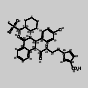 CS(=O)(=O)N[C@H]1CCCC[C@@H]1N1C(=O)c2ccccc2[C@@H](C(=O)NCCn2ccc(C(=O)O)n2)[C@@H]1c1ccc(Cl)cc1